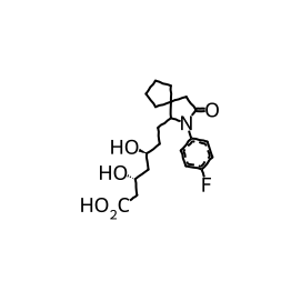 O=C(O)C[C@H](O)C[C@@H](O)CCC1N(c2ccc(F)cc2)C(=O)CC12CCCC2